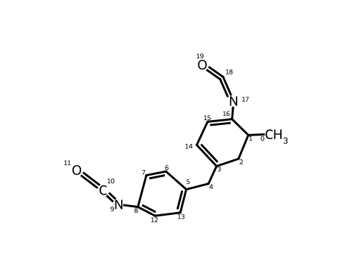 CC1CC(Cc2ccc(N=C=O)cc2)=CC=C1N=C=O